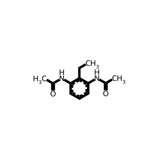 CCc1c(NC(C)=O)cccc1NC(C)=O